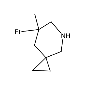 CCC1(C)CNCC2(CC2)C1